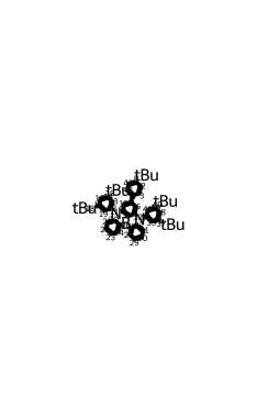 CC(C)(C)c1ccc(-c2cc3c4c(c2)N(c2cc(C(C)(C)C)cc(C(C)(C)C)c2)c2ccccc2B4c2ccccc2N3c2cc(C(C)(C)C)cc(C(C)(C)C)c2)cc1